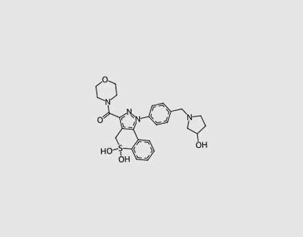 O=C(c1nn(-c2ccc(CN3CCC(O)C3)cc2)c2c1CS(O)(O)c1ccccc1-2)N1CCOCC1